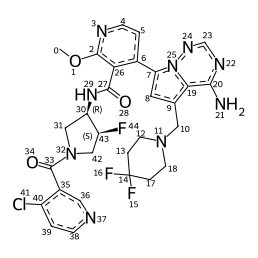 COc1nccc(-c2cc(CN3CCC(F)(F)CC3)c3c(N)ncnn23)c1C(=O)N[C@@H]1CN(C(=O)c2cnccc2Cl)C[C@@H]1F